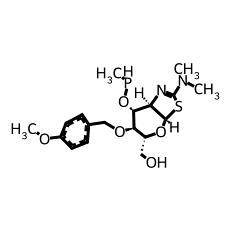 COc1ccc(CO[C@H]2[C@H](OPC)[C@H]3N=C(N(C)C)S[C@H]3O[C@@H]2CO)cc1